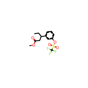 CCC(CC(=O)OC)c1cccc(OS(=O)(=O)C(F)(F)F)c1